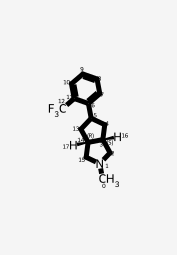 CN1C[C@H]2CC(c3ccccc3C(F)(F)F)C[C@H]2C1